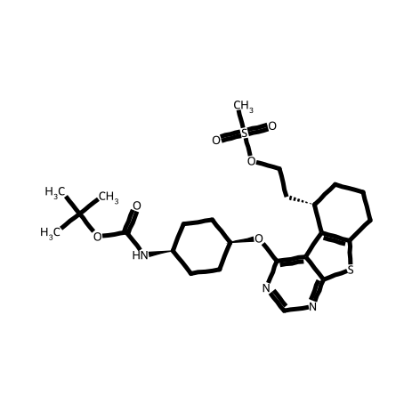 CC(C)(C)OC(=O)N[C@H]1CC[C@@H](Oc2ncnc3sc4c(c23)[C@H](CCOS(C)(=O)=O)CCC4)CC1